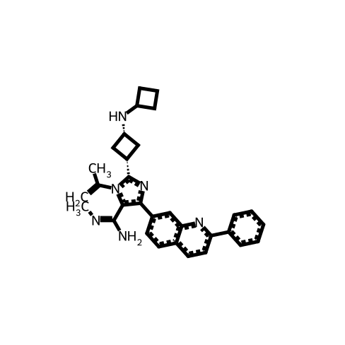 C=C(C)n1c(/C(N)=N\C)c(-c2ccc3ccc(-c4ccccc4)nc3c2)nc1[C@H]1C[C@@H](NC2CCC2)C1